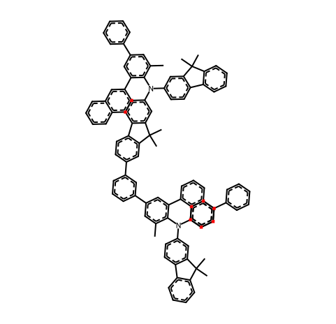 Cc1cc(-c2ccccc2)cc(-c2ccc3ccccc3c2)c1N(c1ccc2c(c1)C(C)(C)c1ccccc1-2)c1ccc2c(c1)C(C)(C)c1cc(-c3cccc(-c4cc(C)c(N(c5ccc(-c6ccccc6)cc5)c5ccc6c(c5)C(C)(C)c5ccccc5-6)c(-c5cccc6ccccc56)c4)c3)ccc1-2